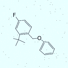 CC(C)(C)c1cc(F)ccc1COc1ccccc1